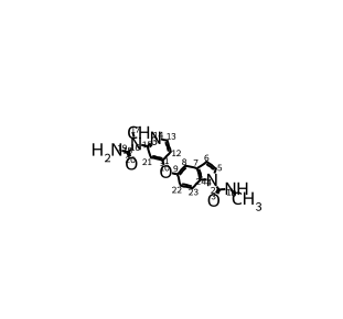 CNC(=O)n1ccc2cc(Oc3ccnc(N(C)C(N)=O)c3)ccc21